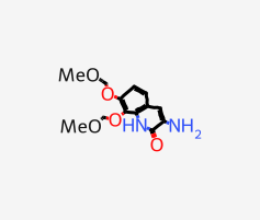 COCOc1ccc2cc(N)c(=O)[nH]c2c1OCOC